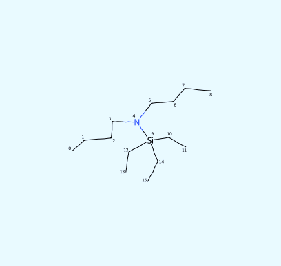 CCCCN(CCCC)[Si](CC)(CC)CC